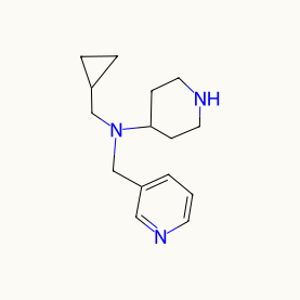 c1cncc(CN(CC2CC2)C2CCNCC2)c1